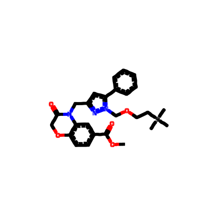 COC(=O)c1ccc2c(c1)N(Cc1cc(-c3ccccc3)n(COCC[Si](C)(C)C)n1)C(=O)CO2